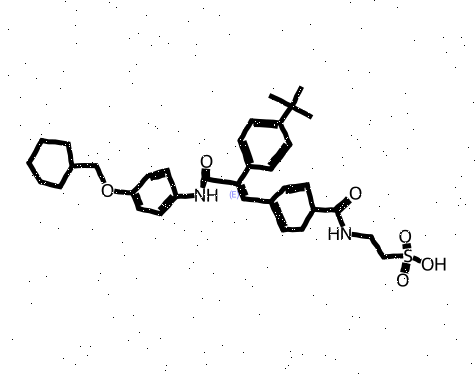 CC(C)(C)c1ccc(/C(=C\C2=CCC(C(=O)NCCS(=O)(=O)O)C=C2)C(=O)Nc2ccc(OCC3CCCCC3)cc2)cc1